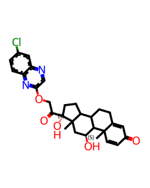 CC12C=CC(=O)C=C1CCC1C2[C@@H](O)CC2(C)C1CC[C@]2(O)C(=O)COc1cnc2cc(Cl)ccc2n1